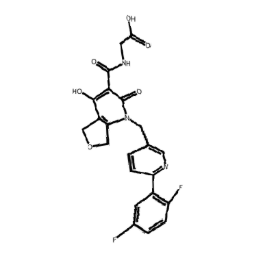 O=C(O)CNC(=O)c1c(O)c2c(n(Cc3ccc(-c4cc(F)ccc4F)nc3)c1=O)COC2